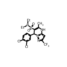 CCN(CC)S(=O)(=O)C1=C(C)Nc2cc(C(F)(F)F)nn2C1c1ccc(Cl)c(Cl)c1